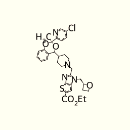 CCOC(=O)c1cc2c(nc(CN3CCC(C4O[C@](C)(c5ccc(Cl)cn5)Oc5ccccc54)CC3)n2C[C@@H]2CCO2)s1